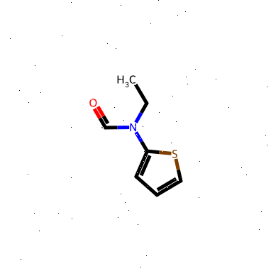 CCN([C]=O)c1cccs1